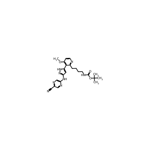 COc1ccnc(CCCCNC(=O)OC(C)(C)C)c1-c1cc(Nc2cnc(C#N)cn2)n[nH]1